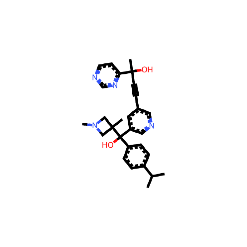 CC(C)c1ccc(C(O)(c2cncc(C#CC(C)(O)c3ccncn3)c2)C2(C)CN(C)C2)cc1